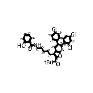 CC(C)(C)C(=O)c1oc2nc(-c3ccc(Cl)cc3Cl)c(-c3ccc(Cl)cc3)cc2c1CCCCCNC(=O)c1ccccc1O